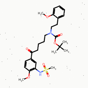 COc1ccccc1CCN(CCCCC(=O)c1ccc(OC)c(NS(C)(=O)=O)c1)C(=O)OC(C)(C)C